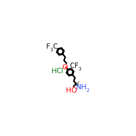 C[C@](N)(CO)CCc1ccc(OCCCc2ccc(C(F)(F)F)cc2)c(C(F)(F)F)c1.Cl